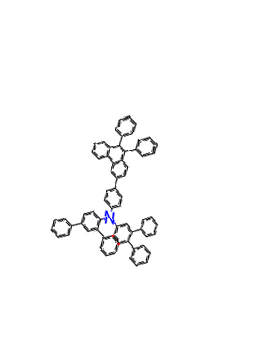 c1ccc(-c2ccc(N(c3ccc(-c4ccc5c(-c6ccccc6)c(-c6ccccc6)c6ccccc6c5c4)cc3)c3ccc(-c4ccccc4)c(-c4ccccc4)c3)c(-c3ccccc3)c2)cc1